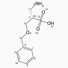 NC[C@@H](COCc1ccccc1)S(=O)(=O)O